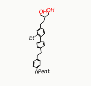 CCCCCc1ccc(CCc2ccc(-c3ccc(CCC(CO)CO)cc3CC)cc2)cc1